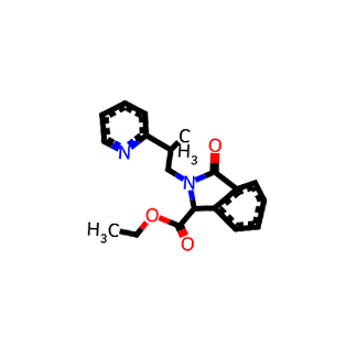 CCOC(=O)C1c2ccccc2C(=O)N1CC(C)c1ccccn1